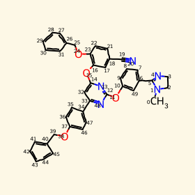 CN1CCN=C1c1cccc(Oc2nc(Oc3cc(C#N)ccc3OCc3ccccc3)cc(-c3ccc(OCc4ccccc4)cc3)n2)c1